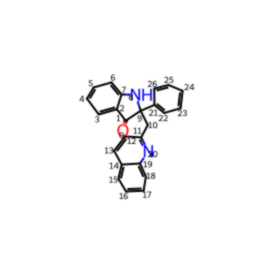 O=C1c2ccccc2NC1(Cc1ccc2ccccc2n1)c1ccccc1